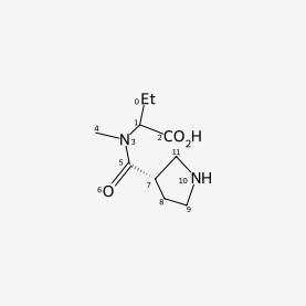 CCC(C(=O)O)N(C)C(=O)[C@H]1CCNC1